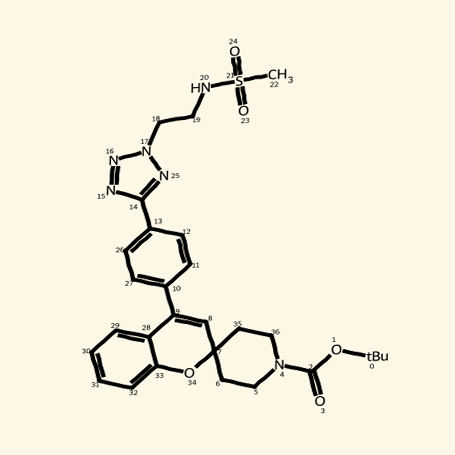 CC(C)(C)OC(=O)N1CCC2(C=C(c3ccc(-c4nnn(CCNS(C)(=O)=O)n4)cc3)c3ccccc3O2)CC1